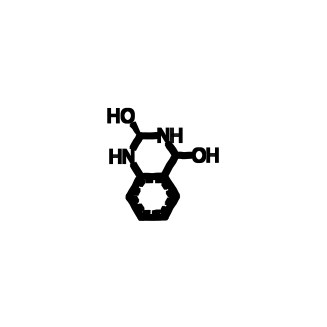 OC1N[C@H](O)Nc2ccccc21